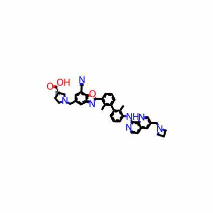 Cc1c(Nc2nccc3cc(CN4CCC4)cnc23)cccc1-c1cccc(-c2nc3cc(CN4CC[C@@H](C(=O)O)C4)cc(C#N)c3o2)c1C